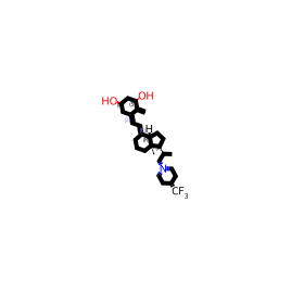 C=C1/C(=C\C=C2/CCC[C@]3(C)[C@@H](C(C)CN4CCC(C(F)(F)F)CC4)CC[C@@H]23)C[C@@H](O)C[C@@H]1O